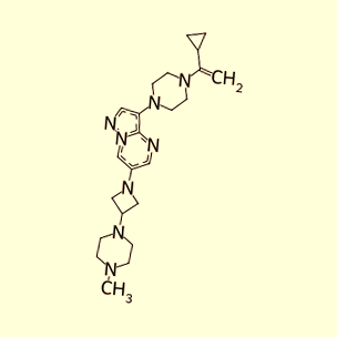 C=C(C1CC1)N1CCN(c2cnn3cc(N4CC(N5CCN(C)CC5)C4)cnc23)CC1